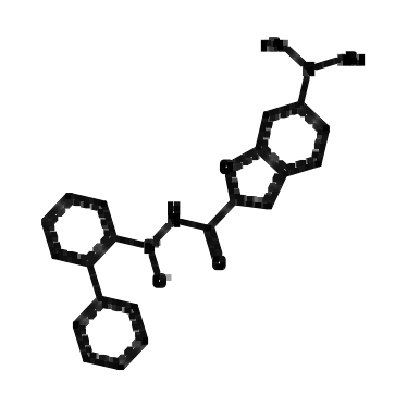 CCCCN(CCCC)c1ccc2cc(C(=O)N[S+]([O-])c3ccccc3-c3ccccc3)oc2c1